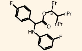 CCCC(CCC)[C@H](CC)OC(=O)C(Nc1cccc(F)c1)c1ccc(F)cc1